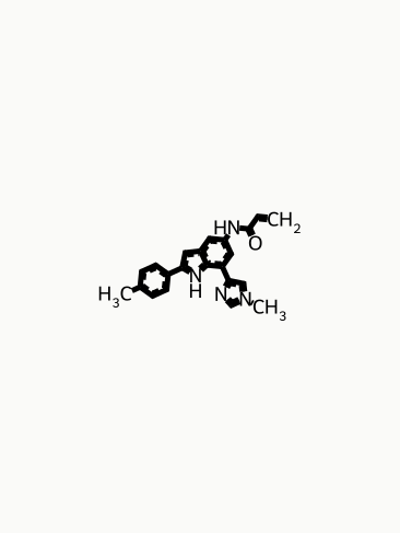 C=CC(=O)Nc1cc(-c2cn(C)cn2)c2[nH]c(-c3ccc(C)cc3)cc2c1